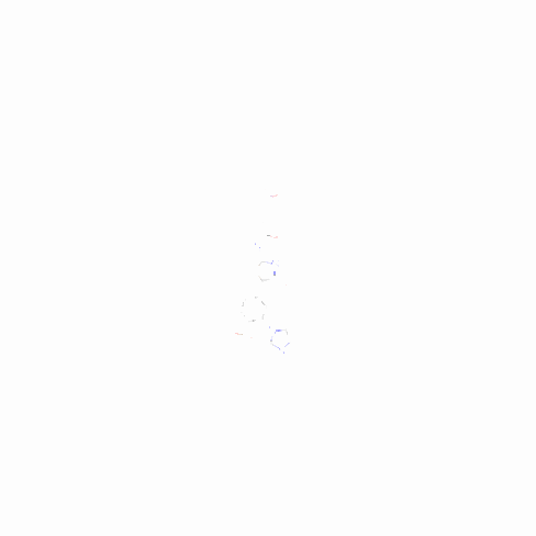 Cc1nc(NC(=O)COP(=O)(O)O)sc1-c1ccc(S(C)(=O)=O)c(-n2ccnc2)c1.O